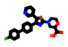 O=C(O)C1CN(c2nc(-c3ccc(-c4ccc(F)cc4)cc3)c(-c3cccnc3)s2)CCO1